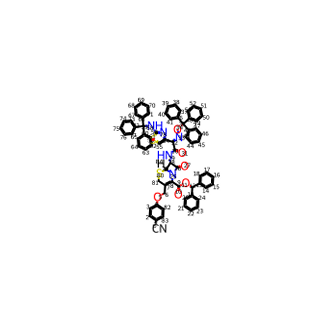 N#Cc1ccc(OCC2=C(C(=O)OC(c3ccccc3)c3ccccc3)N3C(=O)C(NC(=O)/C(=N/OC(c4ccccc4)(c4ccccc4)c4ccccc4)c4csc(NC(c5ccccc5)(c5ccccc5)c5ccccc5)n4)[C@H]3SC2)cc1